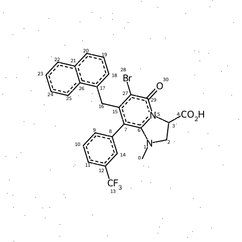 CN1CC(C(=O)O)n2c1c(-c1cccc(C(F)(F)F)c1)c(Cc1cccc3ccccc13)c(Br)c2=O